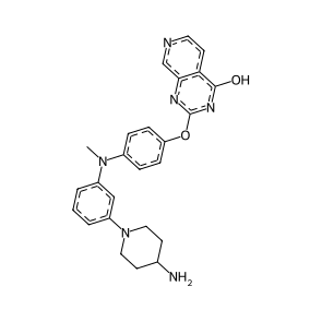 CN(c1ccc(Oc2nc(O)c3ccncc3n2)cc1)c1cccc(N2CCC(N)CC2)c1